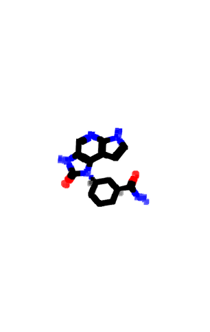 NC(=O)[C@H]1CCC[C@H](n2c(=O)[nH]c3cnc4[nH]ccc4c32)C1